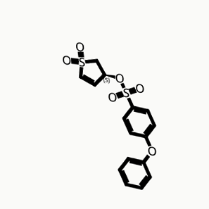 O=S1(=O)C=C[C@H](OS(=O)(=O)c2ccc(Oc3ccccc3)cc2)C1